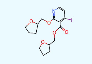 O=C(OCC1CCCO1)c1c(I)ccnc1OCC1CCCO1